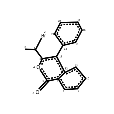 CC(Br)c1oc(=O)c2ccccc2c1-c1ccccc1